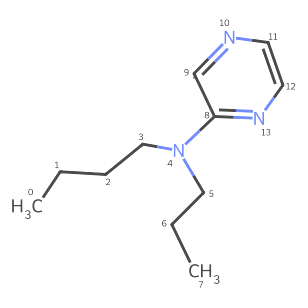 CCCCN(CCC)c1[c]nccn1